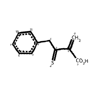 C=C(C(=O)O)C(=S)Cc1ccccc1